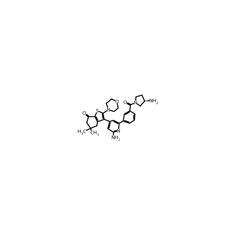 CC1(C)CC(=O)c2sc(N3CCOCC3)c(-c3cc(N)nc(-c4cccc(C(=O)N5CC[C@@H](N)C5)c4)c3)c2C1